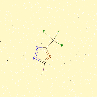 FC(F)(F)c1nnc(I)s1